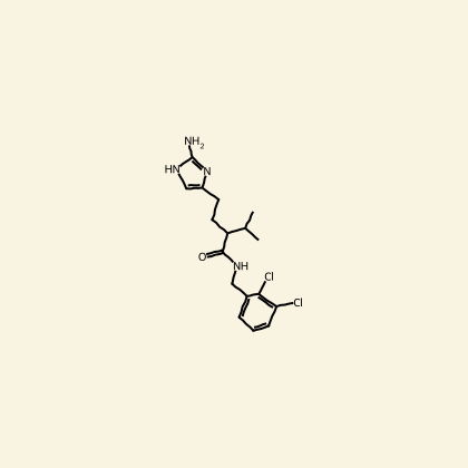 CC(C)C(CCc1c[nH]c(N)n1)C(=O)NCc1cccc(Cl)c1Cl